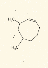 CC1C=CCCCC(C)C1